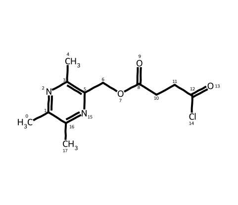 Cc1nc(C)c(COC(=O)CCC(=O)Cl)nc1C